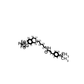 CN(C)c1ccc(C=CC(=O)NCCCCN2CCc3ccc(OS(=O)(=O)C(F)(F)F)cc3C2)cc1